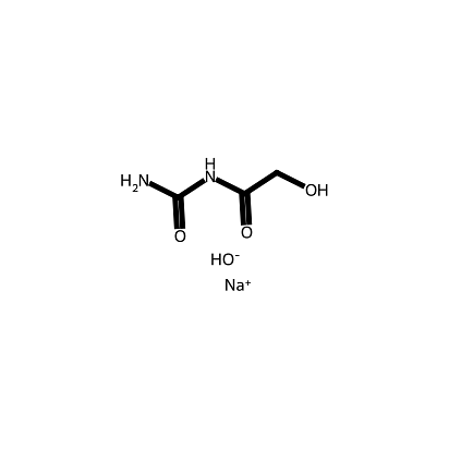 NC(=O)NC(=O)CO.[Na+].[OH-]